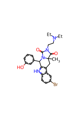 CCN(CC)CCN1C(=O)N2C(c3cccc(O)c3)c3[nH]c4ccc(Br)cc4c3CC2(C)C1=O